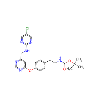 CC(C)(C)OC(=O)NCCc1ccc(Oc2cc(CNc3ncc(Cl)cn3)ncn2)cc1